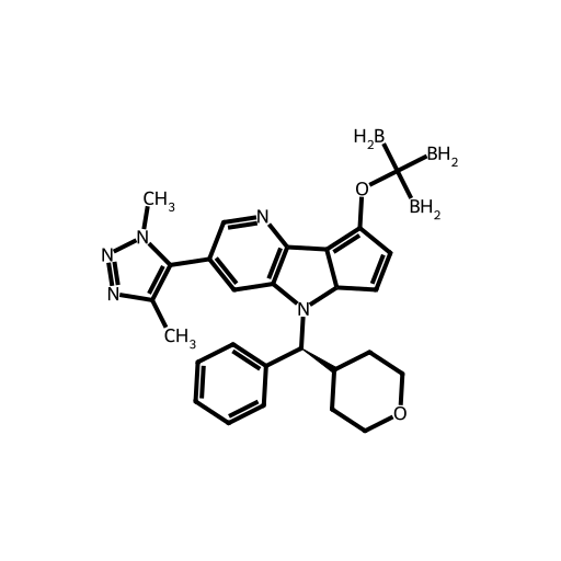 BC(B)(B)OC1=C2c3ncc(-c4c(C)nnn4C)cc3N([C@H](c3ccccc3)C3CCOCC3)C2C=C1